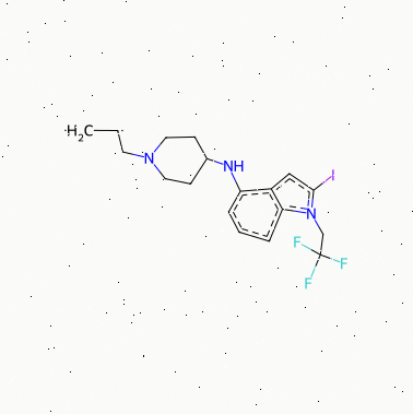 [CH2][CH]CN1CCC(Nc2cccc3c2cc(I)n3CC(F)(F)F)CC1